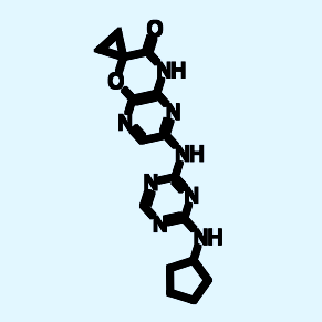 O=C1Nc2nc(Nc3ncnc(NC4CCCC4)n3)cnc2OC12CC2